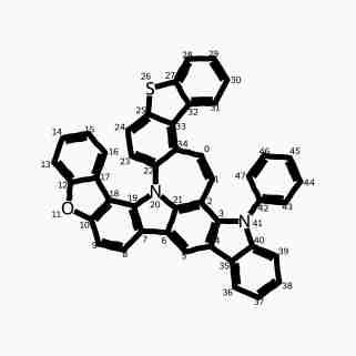 C1=Cc2c3c(cc4c5ccc6oc7ccccc7c6c5n(c24)-c2ccc4sc5ccccc5c4c21)c1ccccc1n3-c1ccccc1